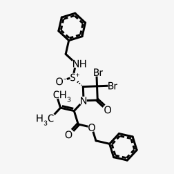 CC(C)=C(C(=O)OCc1ccccc1)N1C(=O)C(Br)(Br)[C@H]1[S+]([O-])NCc1ccccc1